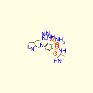 NS(=O)(=O)c1c(S(=O)(=O)N[C@@H]2CCNC2)ccc(N2CCc3cccnc3C2)c1-c1nnn[nH]1